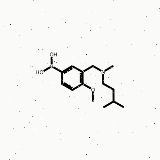 COc1ccc(B(O)O)cc1CN(C)CCC(C)C